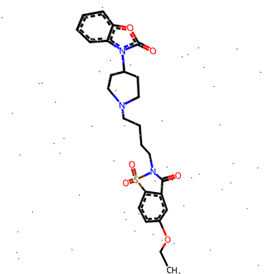 CCOc1ccc2c(c1)C(=O)N(CCCCN1CCC(n3c(=O)oc4ccccc43)CC1)S2(=O)=O